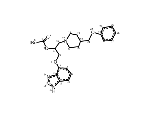 CC(C)(C)C(=O)OC(COc1cccc2[nH]nnc12)CN1CCC(COc2ccccc2)CC1